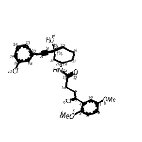 COc1ccc(OC)c(C(=O)CCC(=O)N[C@H]2CCC[C@@](O)(C#Cc3cccc(Cl)c3)C2)c1